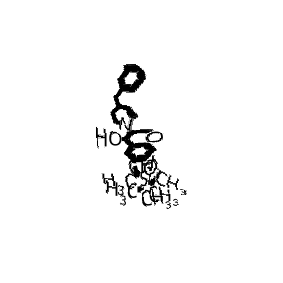 CC(C)[Si](Oc1ccc2c(c1)OCC(N1CCC(Cc3ccccc3)CC1)C2O)(C(C)C)C(C)C